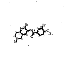 CCOc1ccc(C(=O)Nc2cc3c(nc2Br)CCN(C)C3)cc1Br